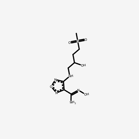 CS(=O)(=O)CCC(O)CNc1nonc1/C(N)=N/O